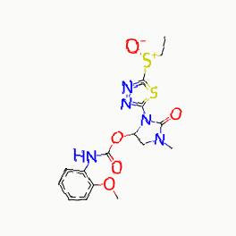 CC[S+]([O-])c1nnc(N2C(=O)N(C)CC2OC(=O)Nc2ccccc2OC)s1